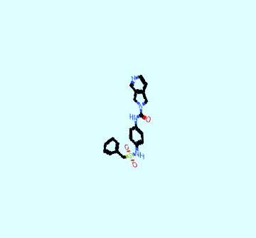 O=C(Nc1ccc(NS(=O)(=O)Cc2ccccc2)cc1)N1Cc2ccncc2C1